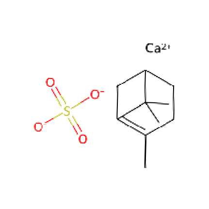 CC1=C2CC(CC1)C2(C)C.O=S(=O)([O-])[O-].[Ca+2]